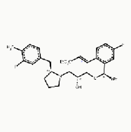 CCC[C@@H](OC[C@H](O)CN1CCC[C@H]1Cc1ccc(C)c(F)c1)c1cc(F)ccc1/C=C/C(=O)OCC